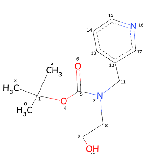 CC(C)(C)OC(=O)N(CCO)Cc1cccnc1